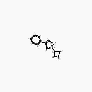 [c]1ccccc1-c1cnn(C2CCC2)c1